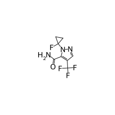 NC(=O)c1c(C(F)(F)F)cnn1C1(F)CC1